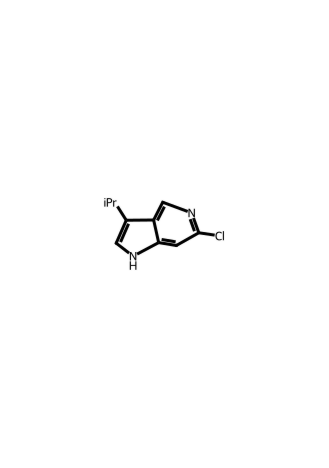 CC(C)c1c[nH]c2cc(Cl)ncc12